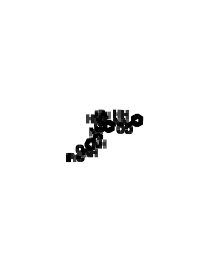 CC(C)OC(=O)N[C@@H]1CC[C@@H](c2ncc(-c3ccc(NC(=O)NC(=O)c4ccccc4)cc3S(=O)(=O)NC(C)(C)C)s2)NC1